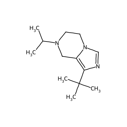 CC(C)N1CCn2cnc(C(C)(C)C)c2C1